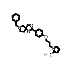 Cc1cccn1CCCOc1ccc(C2=NC3(CCN(Cc4ccccc4)C3)CO2)cc1